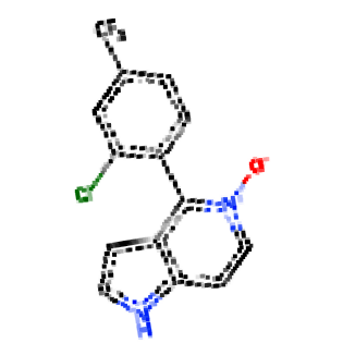 [O-][n+]1ccc2[nH]ccc2c1-c1ccc(C(F)(F)F)cc1Cl